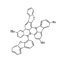 CC(C)(C)c1ccc2c(c1)-c1cc3c(oc4ccccc43)c3c1B(c1cc(C(C)(C)C)cc4c5cc(C(C)(C)C)ccc5n-3c14)N2c1cccc2c1oc1ccccc12